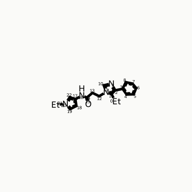 CCc1c(-c2ccccc2)ncn1CCC(=O)Nc1ccn(CC)c1